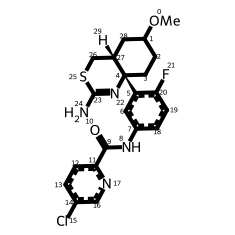 COC1CC[C@]2(c3cc(NC(=O)c4ccc(Cl)cn4)ccc3F)N=C(N)SC[C@@H]2C1